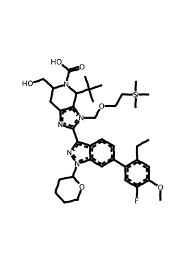 CCc1cc(OC)c(F)cc1-c1ccc2c(-c3nc4c(n3COCC[Si](C)(C)C)C(C(C)(C)C)N(C(=O)O)C(CO)C4)nn(C3CCCCO3)c2c1